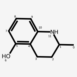 CC1CCc2c(O)cccc2N1